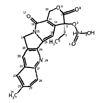 CC[C@@]1(O[PH](=O)O)C(=O)OCc2c1cc1n(c2=O)Cc2cc3cc(C)ccc3nc2-1